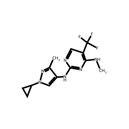 CNc1nc(Nc2cn(C3CC3)nc2C)ncc1C(F)(F)F